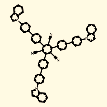 N#Cc1c(-c2ccc(-c3ccc(-n4ccc5ccccc54)cc3)cc2)c(C#N)c(-c2ccc(-c3ccc(-n4ccc5ccccc54)cc3)cc2)c(C#N)c1-c1ccc(-c2ccc(-n3ccc4ccccc43)cc2)cc1